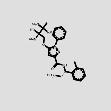 CNC(C)(NC)[C@@](O)(COc1cc(C(=O)N[C@@H](CC(=O)O)c2ccccc2C)nn1-c1ccccc1)NC